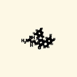 Cc1cc(C)c(/N=c2\cc3n(c(=O)n2CCNC(=N)N)CCc2cc(C)c(C)cc2-3)c(C)c1